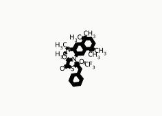 CN(C)c1cc2c(cc1N1C(=O)C(=O)SC1(Cc1ccccc1)OC(F)(F)F)C(C)(C)CCC2(C)C